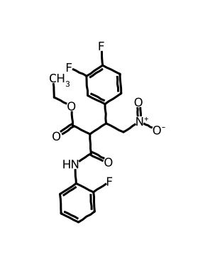 CCOC(=O)C(C(=O)Nc1ccccc1F)C(C[N+](=O)[O-])c1ccc(F)c(F)c1